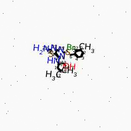 Cc1cccc(CSc2nc(N[C@@H](CO)CC(C)C)c3sc(N)nc3n2)c1Br